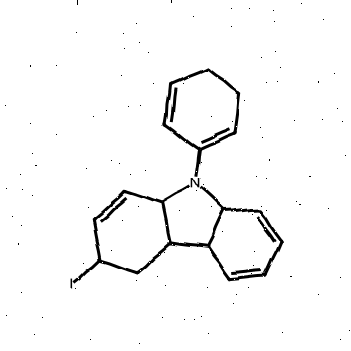 IC1C=CC2C(C1)C1C=CC=CC1N2C1=CCCC=C1